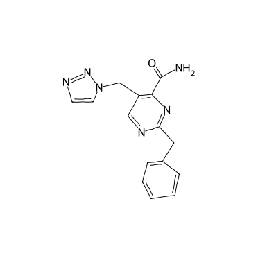 NC(=O)c1nc(Cc2ccccc2)ncc1Cn1ccnn1